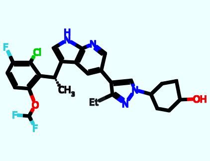 CCc1nn(C2CCC(O)CC2)cc1-c1cnc2[nH]cc([C@H](C)c3c(OC(F)F)ccc(F)c3Cl)c2c1